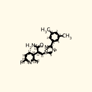 Cc1cc(C)cc(-c2ncn(C=C(C(N)=O)c3ccc(F)nc3F)n2)c1